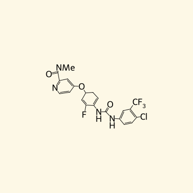 CNC(=O)c1cc(OC2C=C(F)C(NC(=O)Nc3ccc(Cl)c(C(F)(F)F)c3)=CC2)ccn1